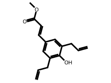 C=CCc1cc(C=CC(=O)OC)cc(CC=C)c1O